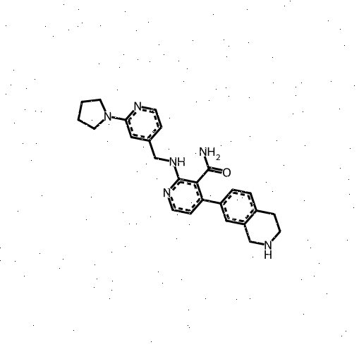 NC(=O)c1c(-c2ccc3c(c2)CNCC3)ccnc1NCc1ccnc(N2CCCC2)c1